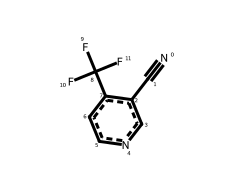 N#Cc1cnccc1C(F)(F)F